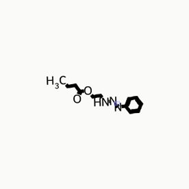 CCCC(=O)OCCN/N=N/c1ccccc1